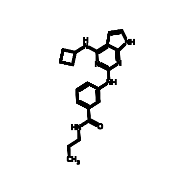 CCCNC(=O)c1cccc(Nc2nc(NC3CCC3)c3cc[nH]c3n2)c1